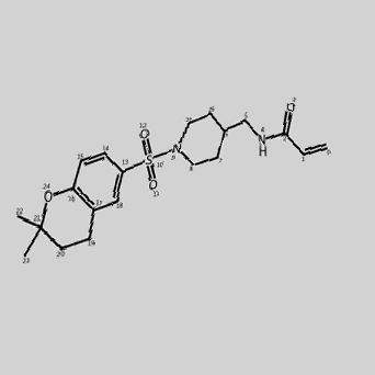 C=CC(=O)NCC1CCN(S(=O)(=O)c2ccc3c(c2)CCC(C)(C)O3)CC1